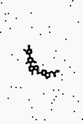 Cc1cc(-c2cnc(=O)n(C)c2)cc(C)c1-c1ccc(F)c2c1CC[C@H]2Oc1ccc2c(c1)OCC2CC(=O)O